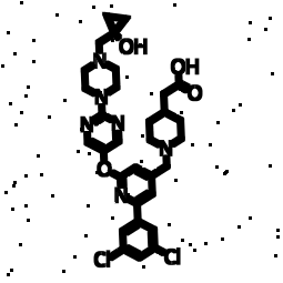 O=C(O)CC1CCN(Cc2cc(Oc3cnc(N4CCN(CC5(O)CC5)CC4)nc3)nc(-c3cc(Cl)cc(Cl)c3)c2)CC1